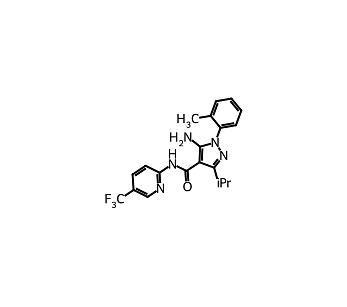 Cc1ccccc1-n1nc(C(C)C)c(C(=O)Nc2ccc(C(F)(F)F)cn2)c1N